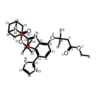 CCOC(=O)CC(F)(F)Oc1ccc(-c2nccs2)c2oc(N3CC4CC(C3)N4C(=O)OC(C)(C)C)nc12